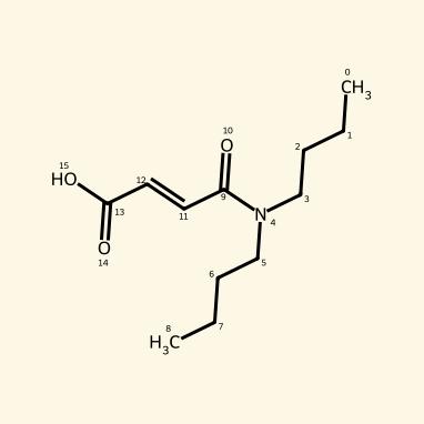 CCCCN(CCCC)C(=O)C=CC(=O)O